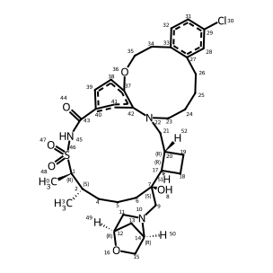 C[C@@H]1[C@@H](C)CCC[C@@](O)(CN2C[C@H]3C[C@@H]2CO3)[C@@H]2CC[C@H]2CN2CCCCc3cc(Cl)ccc3CCOc3ccc(cc32)C(=O)NS1(=O)=O